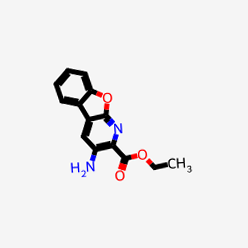 CCOC(=O)c1nc2oc3ccccc3c2cc1N